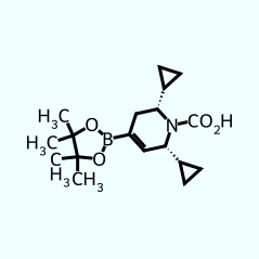 CC1(C)OB(C2=C[C@@H](C3CC3)N(C(=O)O)[C@@H](C3CC3)C2)OC1(C)C